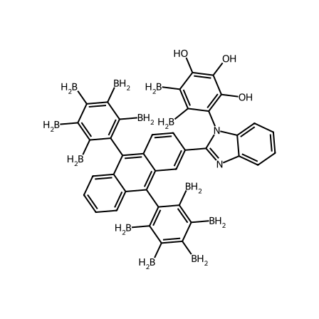 Bc1c(B)c(B)c(-c2c3ccccc3c(-c3c(B)c(B)c(B)c(B)c3B)c3cc(-c4nc5ccccc5n4-c4c(B)c(B)c(O)c(O)c4O)ccc23)c(B)c1B